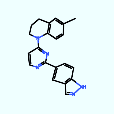 Cc1ccc2c(c1)CCCN2c1ccnc(-c2ccc3[nH]ncc3c2)n1